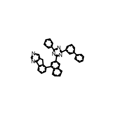 c1ccc(-c2cccc(-c3nc(-c4ccccc4)nc(-c4cc(-c5cccc6c5Cc5cncnc5-6)c5ccccc5c4)n3)c2)cc1